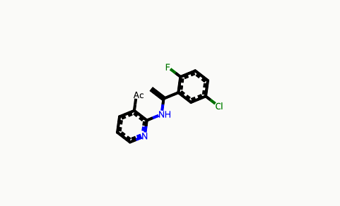 C=C(Nc1ncccc1C(C)=O)c1cc(Cl)ccc1F